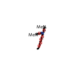 C#CCOCCOCCOCCOCCN(CCOCCNC)CCOCCNC